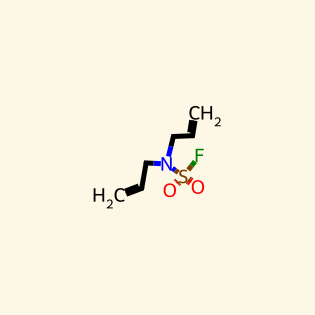 C=CCN(CC=C)S(=O)(=O)F